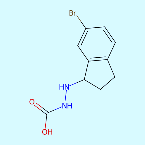 O=C(O)NNC1CCc2ccc(Br)cc21